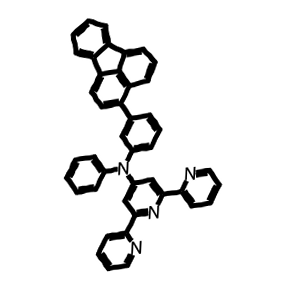 c1ccc(N(c2cccc(-c3ccc4c5c(cccc35)-c3ccccc3-4)c2)c2cc(-c3ccccn3)nc(-c3ccccn3)c2)cc1